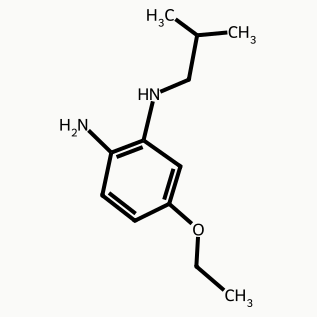 CCOc1ccc(N)c(NCC(C)C)c1